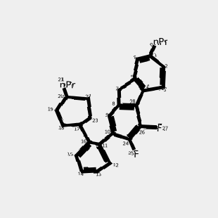 CCCc1ccc2c(c1)Cc1cc(-c3ccccc3C3CCC(CCC)CC3)c(F)c(F)c1-2